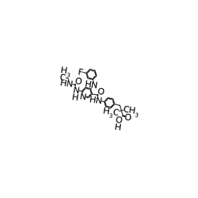 CCNC(=O)Nc1cc(Nc2cccc(F)c2)c(C(=O)Nc2ccc(CC(C)(C)C(=O)O)cc2)cn1